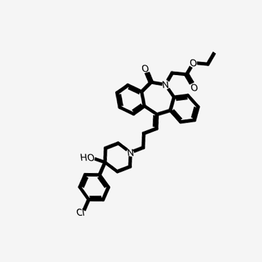 CCOC(=O)CN1C(=O)c2ccccc2C(=CCCN2CCC(O)(c3ccc(Cl)cc3)CC2)c2ccccc21